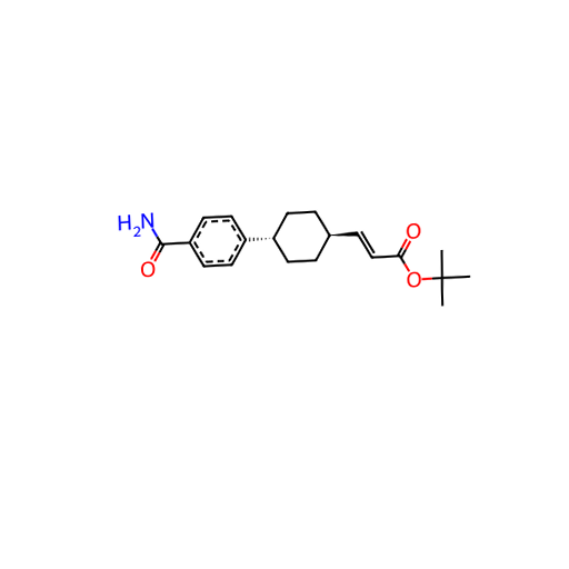 CC(C)(C)OC(=O)/C=C/[C@H]1CC[C@H](c2ccc(C(N)=O)cc2)CC1